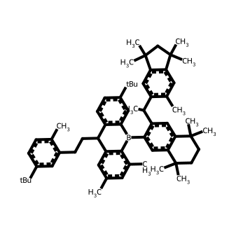 Cc1cc(C)c2c(c1)C(CCc1cc(C(C)(C)C)ccc1C)c1ccc(C(C)(C)C)cc1B2c1cc2c(cc1C(C)c1cc3c(cc1C)C(C)(C)CC3(C)C)C(C)(C)CCC2(C)C